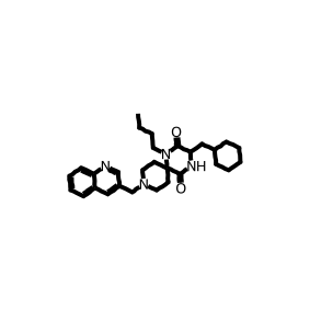 CCCCN1C(=O)C(CC2CCCCC2)NC(=O)C12CCN(Cc1cnc3ccccc3c1)CC2